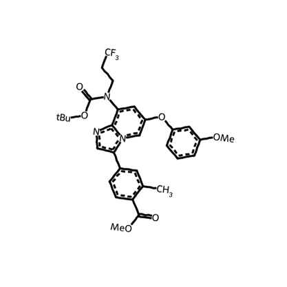 COC(=O)c1ccc(-c2cnc3c(N(CCC(F)(F)F)C(=O)OC(C)(C)C)cc(Oc4cccc(OC)c4)cn23)cc1C